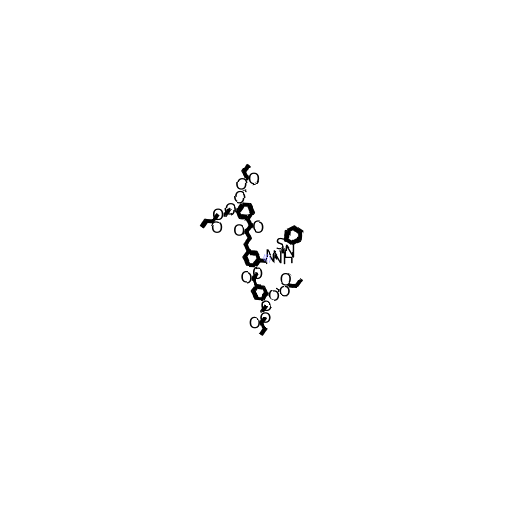 C=CC(=O)OCOc1ccc(C(=O)C(=O)CCc2ccc(OC(=O)c3ccc(OCOC(=O)C=C)c(OCOC(=O)CC)c3)c(/C=N/Nc3nc4ccccc4s3)c2)cc1OCOC(=O)C=C